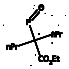 CCCC(CCC)(P=O)C(=O)OCC